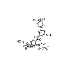 Cc1cc(NC(=O)c2ccc(NS(=O)(=O)CCO)cc2N2CCC3(CC2)CC3)nc(N2CCC(C)(O)CC2)n1